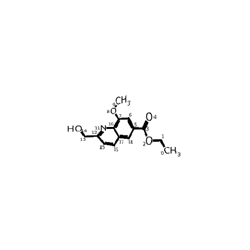 CCOC(=O)c1cc(OC)c2nc(CO)ccc2c1